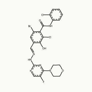 O=C(Nc1ccccc1Cl)c1c(Br)cc(/C=N/Nc2ncc(F)c(N3CCOCC3)n2)c(O)c1Cl